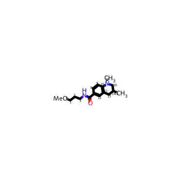 COCCCNC(=O)c1ccc2c(c1)CC(C)CN2C